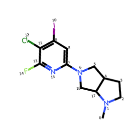 CN1CCC2CN(c3cc(I)c(Cl)c(F)n3)CC21